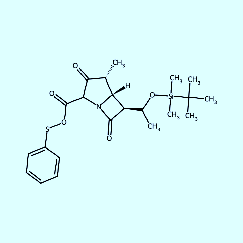 CC(O[Si](C)(C)C(C)(C)C)[C@H]1C(=O)N2C(C(=O)OSc3ccccc3)C(=O)[C@H](C)[C@H]12